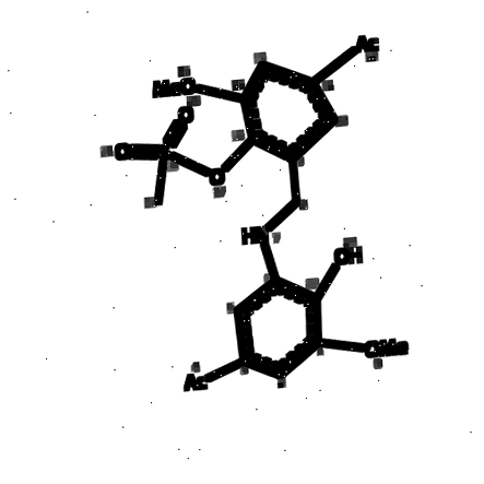 COc1cc(C(C)=O)cc(NCc2cc(C(C)=O)cc(OC)c2OS(C)(=O)=O)c1O